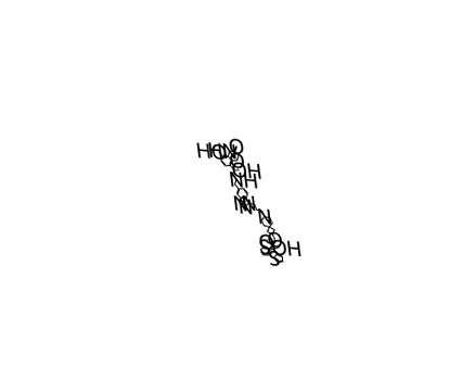 O=C1COc2c(C(O)CNCc3ccc4c(c3)nnn4CCCN3CCC4(CC3)CC(OC(=O)C(O)(c3cccs3)c3cccs3)C4)ccc(O)c2N1